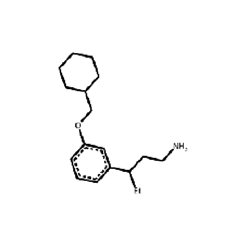 CCC(CCN)c1cccc(OCC2CCCCC2)c1